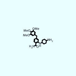 COc1cc(Cc2ccc(C(N)=O)c(NC3CCC(N)CC3)c2)cc(OC)c1OC